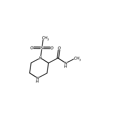 CNC(=O)C1CNCCN1S(C)(=O)=O